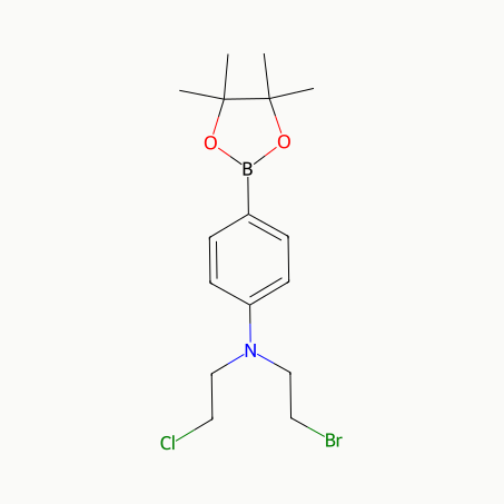 CC1(C)OB(c2ccc(N(CCCl)CCBr)cc2)OC1(C)C